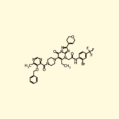 CCc1c(N2CCN(C(=O)c3ncnc(C)c3OCc3ccccc3)CC2)c(=O)n2nc(C3=CCOCC3)nc2n1CC(=O)Nc1ccc(C(F)(F)F)cc1Br